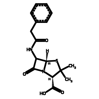 CC1(C)S[C@@H]2C(NC(=O)Cc3ccccc3)C(=O)N2[C@H]1C(=O)O